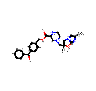 CC1(CN2CCNC(C(=O)OCc3ccc(C(=O)c4ccccc4)cc3)C2)Cn2cc([N+](=O)[O-])nc2O1